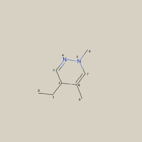 CCC1C=NN(C)C=C1C